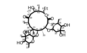 CC[C@H]1OC(=O)[C@H](C)[C@@H](OC2CC(C)(O)C(O)C(C)O2)[C@H](C)[C@@H](OC2CC(C)(O)C(O)C(C)O2)[C@](C)(O)C[C@@H](C)C(=O)[C@H](C)[C@@H](O)[C@H]1C